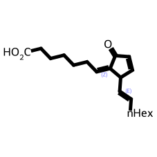 CCCCCC/C=C/C1C=CC(=O)/C1=C\CCCCCC(=O)O